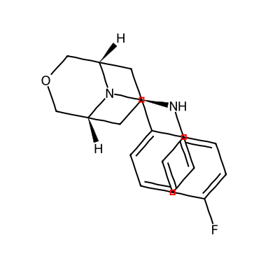 Fc1ccc(N[C@@H]2C[C@H]3COC[C@@H](C2)N3Cc2ccccc2)cc1